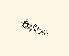 CC1(C)C=CC(NC(=O)c2cc3c(F)ccnc3[nH]2)CC1